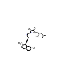 CC/C(=C\C=C/CC#Cc1c(N)ncc2ccc(Cl)cc12)C(=O)NCC(O)CN(C)C